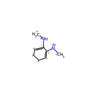 CNC1=CCCC=C1NC